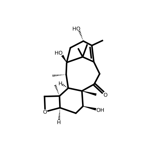 CC1=C2CC(=O)[C@@]3(C)[C@H]([C@H](C)[C@](O)(C[C@@H]1O)C2(C)C)[C@]1(C)CO[C@@H]1C[C@@H]3O